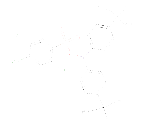 CC(C)(C)c1ccc([I+](OS(=O)(=O)c2cc(Cl)c(Cl)cc2Cl)c2ccc(C(C)(C)C)cc2)cc1